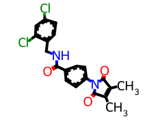 CC1=C(C)C(=O)N(c2ccc(C(=O)NCc3ccc(Cl)cc3Cl)cc2)C1=O